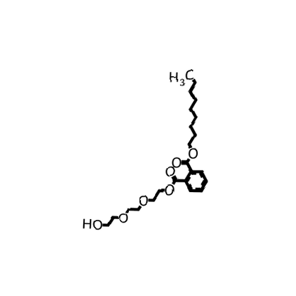 CCCCCCCCCOC(=O)c1ccccc1C(=O)OCCOCCOCCO